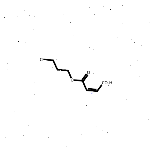 O=C(O)/C=C\C(=O)OCCCCl